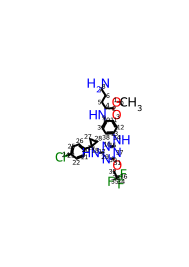 COC(=O)C(CCCN)Nc1ccc(Nc2nc(NC3(c4ccc(Cl)cc4)CC3)nc(OCC(F)(F)F)n2)cc1